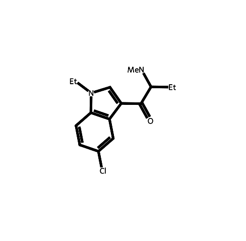 CCC(NC)C(=O)c1cn(CC)c2ccc(Cl)cc12